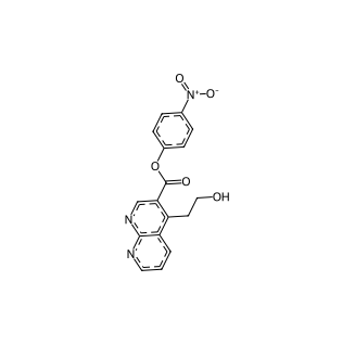 O=C(Oc1ccc([N+](=O)[O-])cc1)c1cnc2ncccc2c1CCO